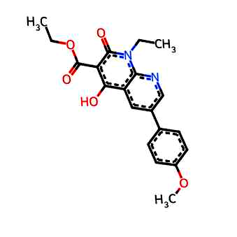 CCOC(=O)c1c(O)c2cc(-c3ccc(OC)cc3)cnc2n(CC)c1=O